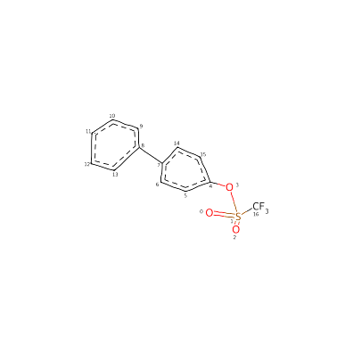 O=S(=O)(Oc1ccc(-c2cc[c]cc2)cc1)C(F)(F)F